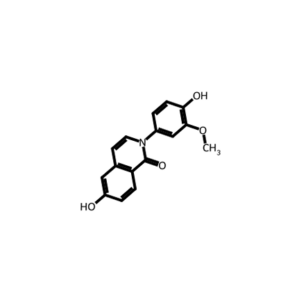 COc1cc(-n2ccc3cc(O)ccc3c2=O)ccc1O